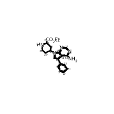 CCOC(=O)C1CC(n2cc(-c3ccccc3)c3c(N)ncnc32)CCN1